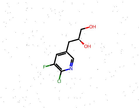 OC[C@@H](O)Cc1cnc(Cl)c(F)c1